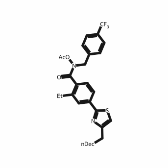 CCCCCCCCCCCc1csc(-c2ccc(C(=O)N(Cc3ccc(C(F)(F)F)cc3)OC(C)=O)c(CC)c2)n1